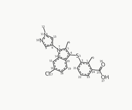 Cc1c(Sc2c(C)n(-c3cnn(C)c3)c3cc(Cl)ccc23)cccc1C(=O)O